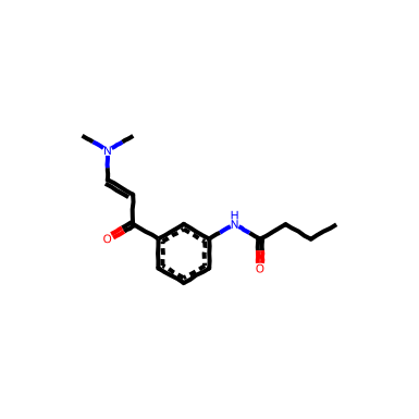 CCCC(=O)Nc1cccc(C(=O)/C=C/N(C)C)c1